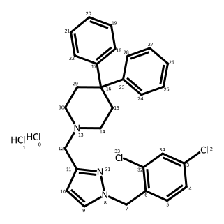 Cl.Cl.Clc1ccc(Cn2ccc(CN3CCC(c4ccccc4)(c4ccccc4)CC3)n2)c(Cl)c1